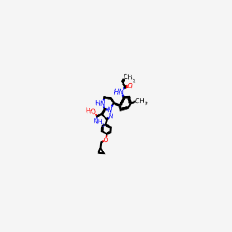 C=CC(=O)Nc1cc(C)ccc1C1CCNc2c(C(N)O)c(-c3ccc(OCC4CC4)cc3)nn21